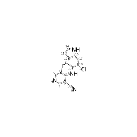 N#Cc1cncc(I)c1Nc1cc2cc[nH]c2cc1Cl